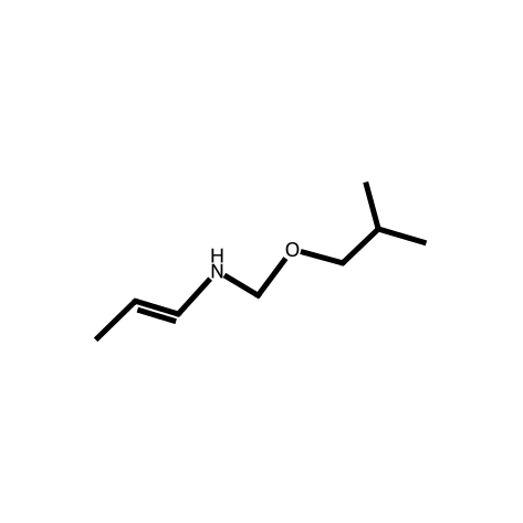 CC=CNCOCC(C)C